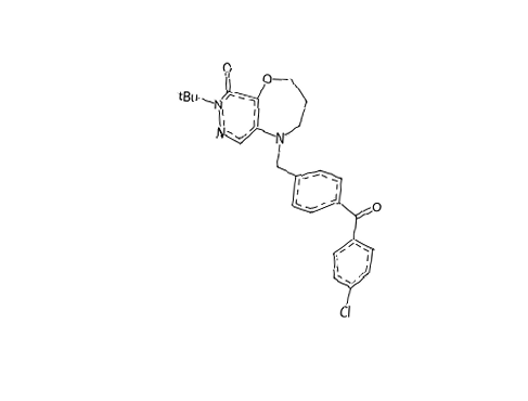 CC(C)(C)n1ncc2c(c1=O)OCCCN2Cc1ccc(C(=O)c2ccc(Cl)cc2)cc1